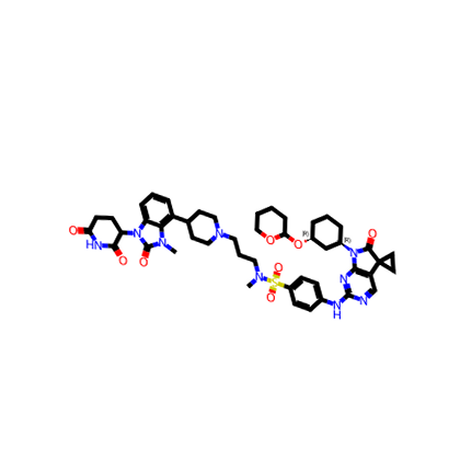 CN(CCCN1CCC(c2cccc3c2n(C)c(=O)n3C2CCC(=O)NC2=O)CC1)S(=O)(=O)c1ccc(Nc2ncc3c(n2)N([C@@H]2CCC[C@@H](OC4CCCCO4)C2)C(=O)C32CC2)cc1